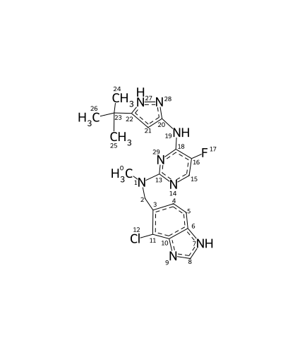 CN(Cc1ccc2[nH]cnc2c1Cl)c1ncc(F)c(Nc2cc(C(C)(C)C)[nH]n2)n1